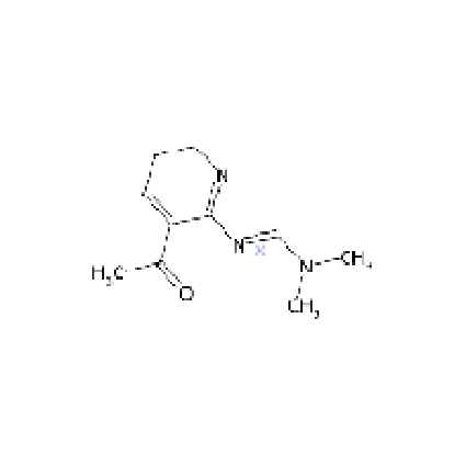 CC(=O)C1=CCCN=C1/N=C/N(C)C